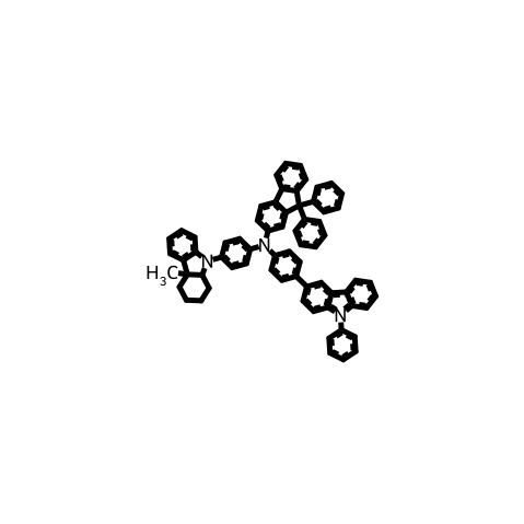 CC12CCCCC1N(c1ccc(N(c3ccc(-c4ccc5c(c4)c4ccccc4n5-c4ccccc4)cc3)c3ccc4c(c3)C(c3ccccc3)(c3ccccc3)c3ccccc3-4)cc1)c1ccccc12